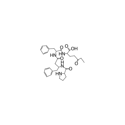 CCC(=O)CCC(NC(=O)C(Cc1ccccc1)NC(=O)CC(Cc1ccccc1)NC(=O)C1CCCN1)C(=O)O